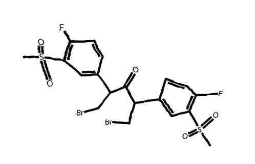 CS(=O)(=O)c1cc(C(CBr)C(=O)C(CBr)c2ccc(F)c(S(C)(=O)=O)c2)ccc1F